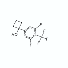 OC1(c2cc(F)c(C(F)(F)F)c(F)c2)CCC1